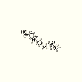 Cn1c(-c2ccc([C@H]3CC34CCN(C(=O)[C@H]3CCCO3)CC4)cc2)cc2ccc(C(=O)O)cc21